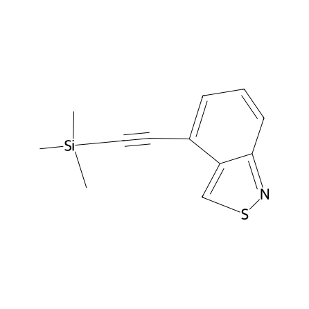 C[Si](C)(C)C#Cc1cccc2nscc12